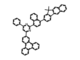 CC1(C)c2cc(-c3ccc(-c4nc(-c5ccccc5)cc(-c5ccc6c7ccccc7c7ccccc7c6c5)n4)c4ccccc34)ccc2-c2cc3ccccc3cc21